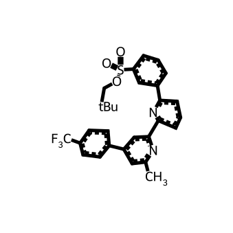 Cc1cc(-c2ccc(C(F)(F)F)cc2)cc(-c2cccc(-c3cccc(S(=O)(=O)OCC(C)(C)C)c3)n2)n1